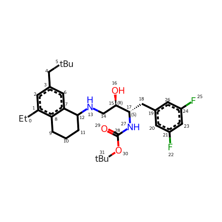 CCc1cc(CC(C)(C)C)cc2c1CCCC2NC[C@@H](O)[C@H](Cc1cc(F)cc(F)c1)NC(=O)OC(C)(C)C